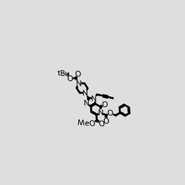 CC#CCn1c(N2CCN(C(=O)OC(C)(C)C)CC2)nc2cc(C(=O)OC)n(C(=O)OCc3ccccc3)c(=O)c21